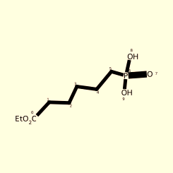 CCOC(=O)CCCCCP(=O)(O)O